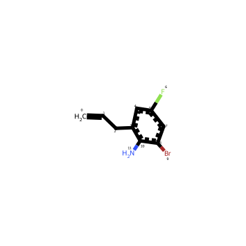 C=CCc1cc(F)cc(Br)c1N